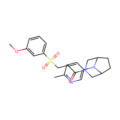 COc1cccc(S(=O)(=O)CCC(=O)N2CC3CCC(C2)N3c2ccc(C)nc2)c1